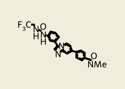 CNC(=O)c1ccc(-c2ccn3c(-c4cccc(NC(=O)NCC(F)(F)F)c4)cnc3c2)cc1